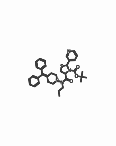 CCCN(C(=O)C1CSC(c2cccnc2)N1C(=O)OC(C)(C)C)N1CCC(=C(c2ccccc2)c2ccccc2)CC1